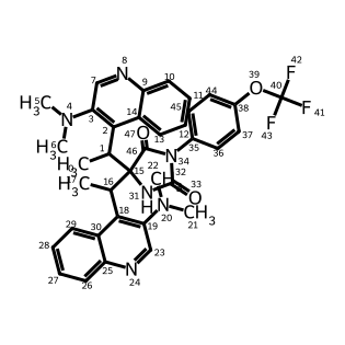 CC(c1c(N(C)C)cnc2ccccc12)C1(C(C)c2c(N(C)C)cnc3ccccc23)NC(=O)N(c2ccc(OC(F)(F)F)cc2)C1=O